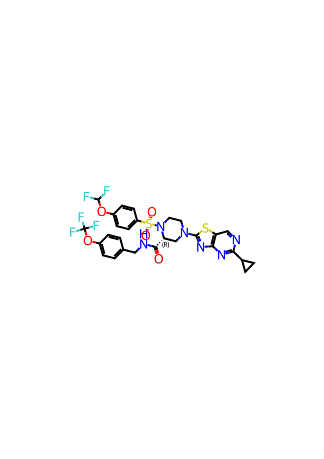 O=C(NCc1ccc(OC(F)(F)F)cc1)[C@H]1CN(c2nc3nc(C4CC4)ncc3s2)CCN1S(=O)(=O)c1ccc(OC(F)F)cc1